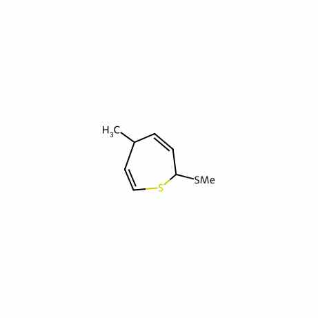 CSC1C=CC(C)C=CS1